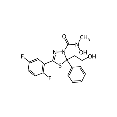 CN(O)C(=O)N1N=C(c2cc(F)ccc2F)SC1(CCO)c1ccccc1